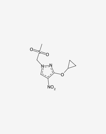 CS(=O)(=O)Cn1cc([N+](=O)[O-])c(OC2CC2)n1